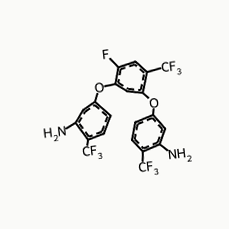 Nc1cc(Oc2cc(Oc3ccc(C(F)(F)F)c(N)c3)c(C(F)(F)F)cc2F)ccc1C(F)(F)F